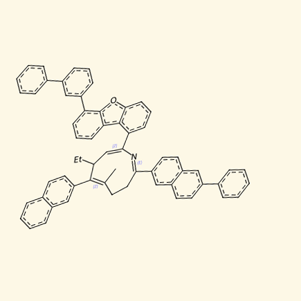 CCC1/C=C(c2cccc3oc4c(-c5cccc(-c6ccccc6)c5)cccc4c23)\N=C(\c2ccc3cc(-c4ccccc4)ccc3c2)CC/C(C)=C/1c1ccc2ccccc2c1